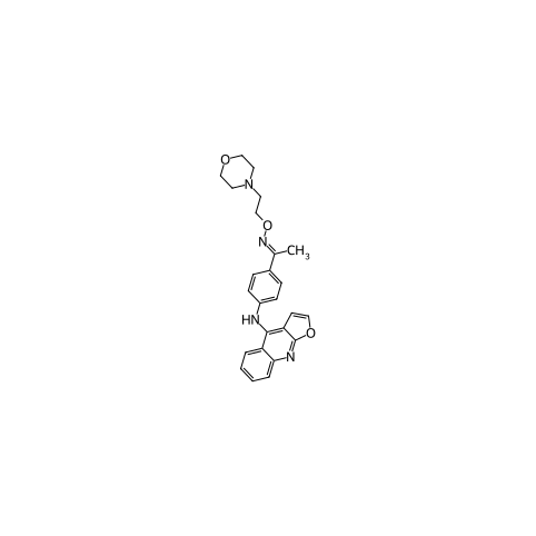 CC(=NOCCN1CCOCC1)c1ccc(Nc2c3ccccc3nc3occc23)cc1